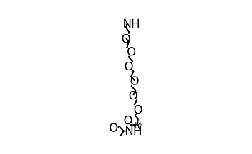 CNCCOCCOCCOCCOCCOCCOCC[C@@H](C)C(=O)NC(C)C=O